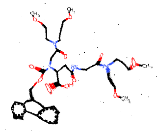 COCCN(CCOC)C(=O)CNC(=O)C[C@@H](C(=O)O)N(CC(=O)N(CCOC)CCOC)C(=O)OCC1c2ccccc2-c2ccccc21